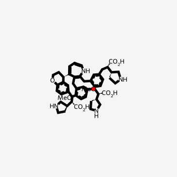 COc1ccc(C[C@H](C(=O)O)[C@H]2CCNC2)cc1CC1=C(Cc2cc(C[C@H](C(=O)O)[C@H]3CCNC3)ccc2OC)C([C@H]2CCOc3ccc(C[C@H](C(=O)O)[C@H]4CCNC4)cc32)=CC=CN1